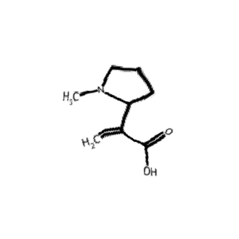 C=C(C(=O)O)C1CCCN1C